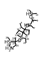 CCC(CC)(O[SiH](C)C(C)O[SiH](C)C)C(C)(CC)[Si](C)(CC)OC(C)(CN)[SiH](C)C